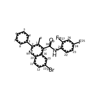 Cc1c(-c2ccccc2)nc2ccc(Br)cc2c1C(=O)Nc1[c]cc(F)cc1F